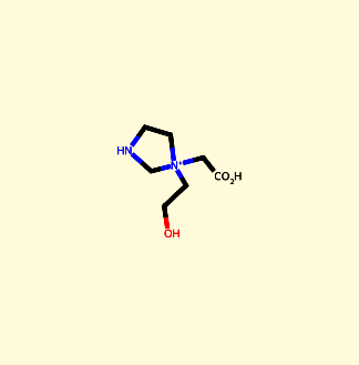 O=C(O)C[N+]1(CCO)CCNC1